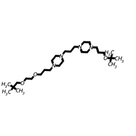 CC(C)(C)COCCOCCCN1CCN(CCCN2CCN(CCCOC(C)(C)C)CC2)CC1